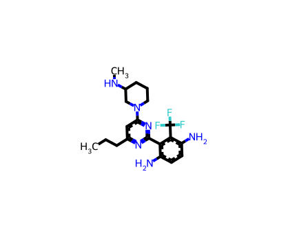 CCCc1cc(N2CCCC(NC)C2)nc(-c2c(N)ccc(N)c2C(F)(F)F)n1